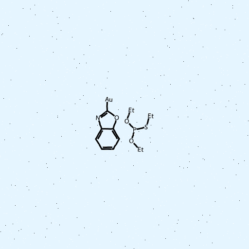 CCOP(OCC)SCC.[Au][c]1nc2ccccc2o1